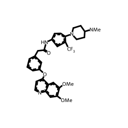 CNC1CCN(c2ccc(NC(=O)Cc3cccc(Oc4ccnc5cc(OC)c(OC)cc45)c3)cc2C(F)(F)F)CC1